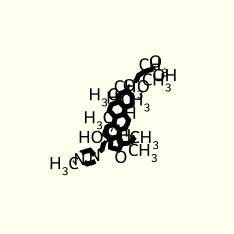 CC(C)C1=C2[C@H]3CC[C@@H]4[C@@]5(C)CC[C@H](OC(=O)CC(C)(C)C(=O)O)C(C)(C)[C@@H]5CC[C@@]4(C)[C@]3(C)CC[C@@]2(C(O)CN2CCN(C)CC2)CC1=O